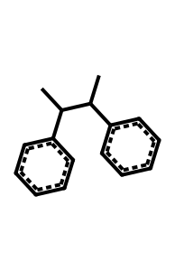 CC(c1ccccc1)C(C)c1ccccc1